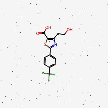 O=C(O)c1sc(-c2ccc(C(F)(F)F)cc2)nc1CCO